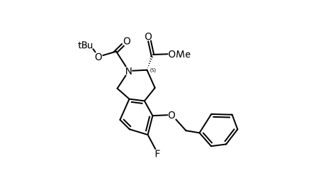 COC(=O)[C@@H]1Cc2c(ccc(F)c2OCc2ccccc2)CN1C(=O)OC(C)(C)C